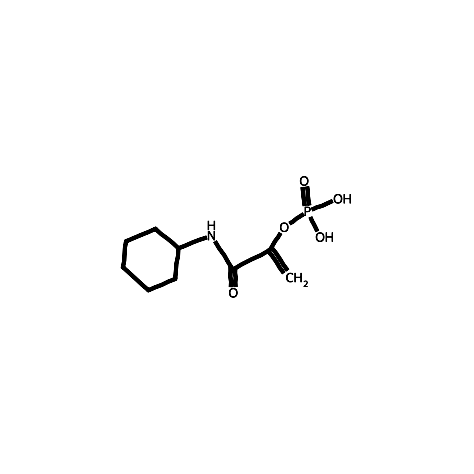 C=C(OP(=O)(O)O)C(=O)NC1CCCCC1